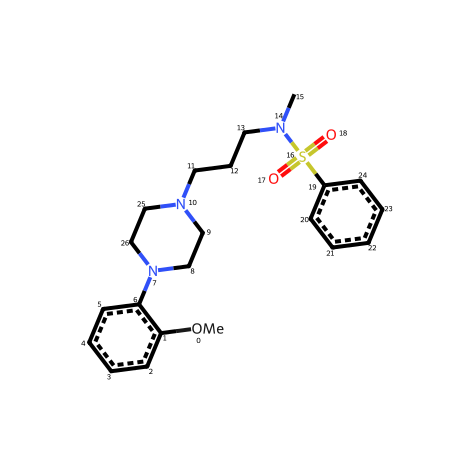 COc1ccccc1N1CCN(CCCN(C)S(=O)(=O)c2ccccc2)CC1